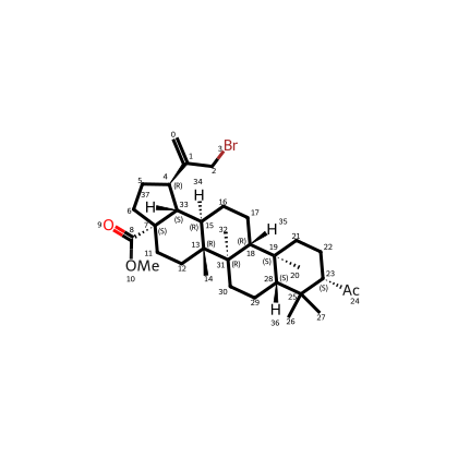 C=C(CBr)[C@@H]1CC[C@]2(C(=O)OC)CC[C@]3(C)[C@H](CC[C@@H]4[C@@]5(C)CC[C@H](C(C)=O)C(C)(C)[C@@H]5CC[C@]43C)[C@@H]12